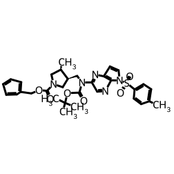 Cc1ccc(S(=O)(=O)n2ccc3nc(N(C[C@H]4CN(C(=O)OCc5ccccc5)C[C@H]4C)C(=O)OC(C)(C)C)cnc32)cc1